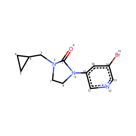 O=C1N(CC2CC2)CCN1c1cncc(Br)c1